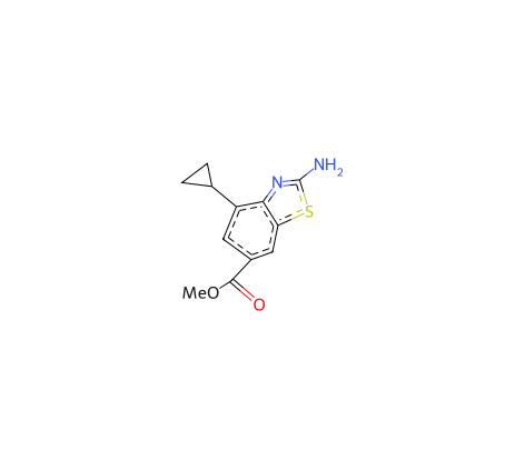 COC(=O)c1cc(C2CC2)c2nc(N)sc2c1